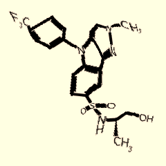 C[C@H](CO)NS(=O)(=O)c1ccc2c(c1)c1nn(C)cc1n2-c1ccc(C(F)(F)F)cc1